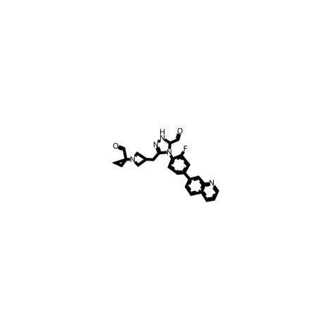 O=CC1NN=C(CC2CN(C3(C=O)CC3)C2)N1c1ccc(-c2ccc3cccnc3c2)cc1F